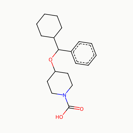 O=C(O)N1CCC(OC(c2ccccc2)C2CCCCC2)CC1